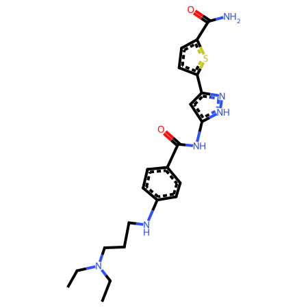 CCN(CC)CCCNc1ccc(C(=O)Nc2cc(-c3ccc(C(N)=O)s3)n[nH]2)cc1